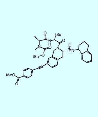 COC(=O)c1ccc(C#Cc2ccc3c(c2)CN(C(=O)C(NC(=O)[C@H](C)N(C)C(=O)OC(C)(C)C)C(C)(C)C)[C@H](C(=O)NC2CCCc4ccccc42)C3)cc1